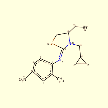 Cc1cc([N+](=O)[O-])ccc1N=C1SCC(CC(C)C)N1CC1CC1